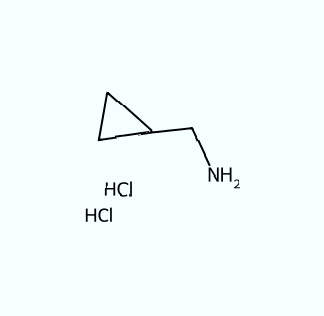 Cl.Cl.NCC1CC1